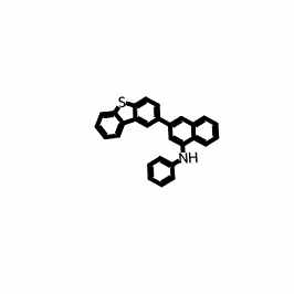 c1ccc(Nc2cc(-c3ccc4sc5ccccc5c4c3)cc3ccccc23)cc1